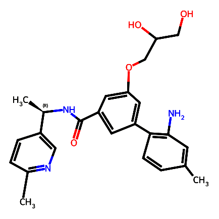 Cc1ccc(-c2cc(OCC(O)CO)cc(C(=O)N[C@H](C)c3ccc(C)nc3)c2)c(N)c1